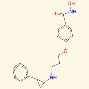 O=C(NO)c1ccc(OCCCNC2CC2c2ccccc2)cc1